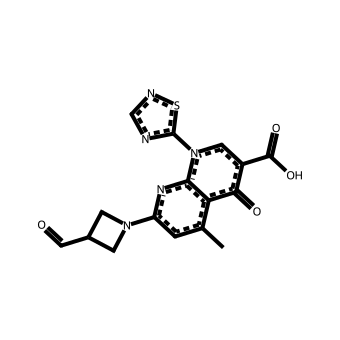 Cc1cc(N2CC(C=O)C2)nc2c1c(=O)c(C(=O)O)cn2-c1ncns1